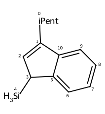 CCCC(C)C1=CC([SiH3])c2ccccc21